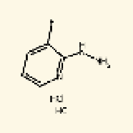 Cl.Cl.NNc1ncccc1F